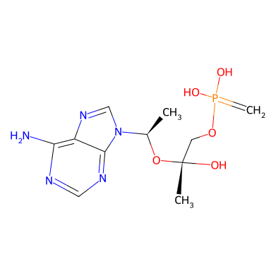 C=P(O)(O)OC[C@](C)(O)O[C@H](C)n1cnc2c(N)ncnc21